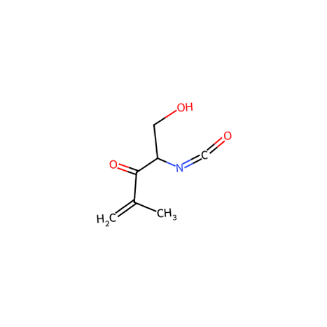 C=C(C)C(=O)C(CO)N=C=O